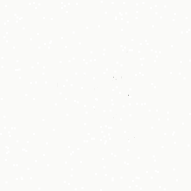 C=C(C)c1[c]c(C(F)(F)F)nn1C